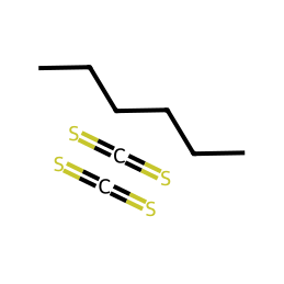 CCCCCC.S=C=S.S=C=S